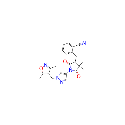 Cc1noc(C)c1Cn1cc(N2C(=O)C(Cc3ccccc3C#N)C(C)(C)C2=O)cn1